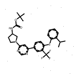 CC(C)c1ccccc1Sc1ccc(-c2cc(N3CCC(NC(=O)OC(C)(C)C)C3)ncn2)cc1C(F)(F)F